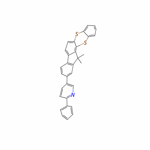 CC1(C)c2cc(-c3ccc(-c4ccccc4)nc3)ccc2-c2ccc3c(c21)Sc1ccccc1S3